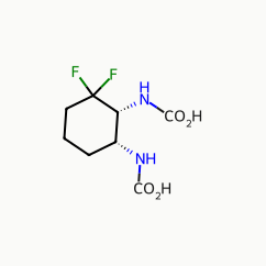 O=C(O)N[C@@H]1[C@H](NC(=O)O)CCCC1(F)F